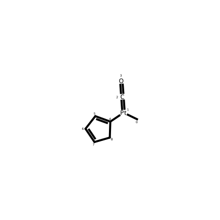 [CH3][Pt](=[C]=O)[C]1=CC=CC1